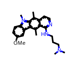 COc1ccc2c(c1)c1c(C)c3c(NCCCN(C)C)nccc3c(C)c1n2C